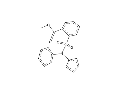 COC(=O)c1ccccc1S(=O)(=O)N(c1ccccc1)n1cccc1